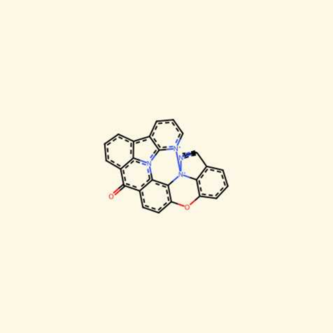 O=c1c2ccc3c4c2n2c5c1cccc5c1ccc[n+](c12)[N+]41c2c(cccc2-c2cccc[n+]21)O3